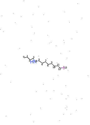 CCCCNCCCCCCCCI